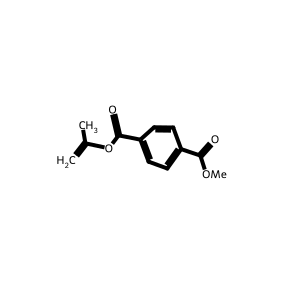 C=C(C)OC(=O)c1ccc(C(=O)OC)cc1